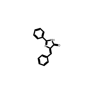 O=C1NC(c2ccccc2)=NC1=Cc1ccccc1